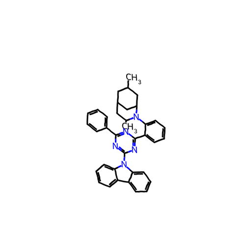 CC1CC2CC(C)N(c3ccccc3-c3nc(-c4ccccc4)nc(-n4c5ccccc5c5ccccc54)n3)C(C1)C2